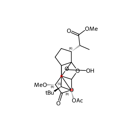 COC(=O)C(C)[C@H]1CCC23C4OC(O)C12OC1OC(=O)[C@H](OC)C13[C@H](C(C)(C)C)[C@H]4OC(C)=O